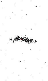 Cn1cc2cc(-c3nc4sc(C5CCN(C(=O)OC(C)(C)C)CC5=O)cc4s3)cc(F)c2n1